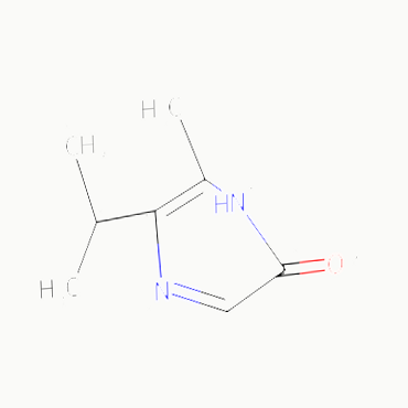 Cc1[nH]c(=O)cnc1C(C)C